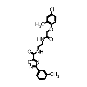 Cc1cccc(-c2noc(C(=O)NCCNC(=O)COc3ccc(Cl)cc3C)n2)c1